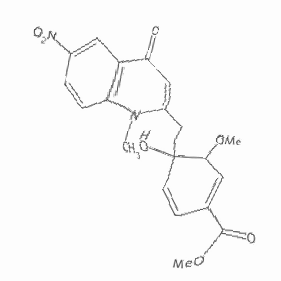 COC(=O)C1=CC(OC)C(O)(Cc2cc(=O)c3cc([N+](=O)[O-])ccc3n2C)C=C1